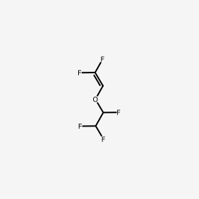 FC(F)=COC(F)C(F)F